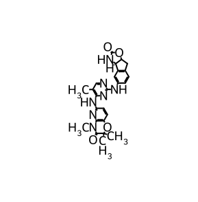 Cc1cnc(Nc2ccc3c(c2)[C@H]2NC(=O)OC2C3)nc1Nc1ccc2c(n1)N(C)C(=O)C(C)(C)O2